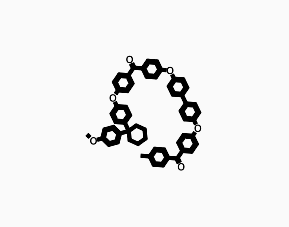 COc1ccc(C2(c3ccc(Oc4ccc(C(=O)c5ccc(Oc6ccc(-c7ccc(Oc8ccc(C(=O)c9ccc(C)cc9)cc8)cc7)cc6)cc5)cc4)cc3)CCCCC2)cc1